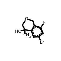 CC1(O)COCc2c(F)cc(Br)cc21